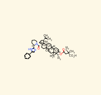 C=C(C)[C@@H]1CC[C@]2(C(=O)N3CCCC[C@@H]3c3ncc(-c4ccccc4)[nH]3)CC[C@]3(C)[C@H](CC[C@@H]4[C@@]5(C)CC[C@H](OC(=O)CC(C)(C)C(=O)O)C(C)(C)[C@@H]5CC[C@]43C)[C@@H]12